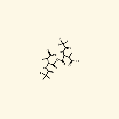 CC(C(=O)O)C(NC(=O)C(F)(F)F)C(=O)OC(=O)C(NC(=O)C(F)(F)F)C(C)C(=O)O